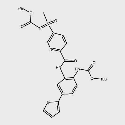 CC(C)(C)OC(=O)N=S(C)(=O)c1ccc(C(=O)Nc2cc(-c3cccs3)ccc2NC(=O)OC(C)(C)C)nc1